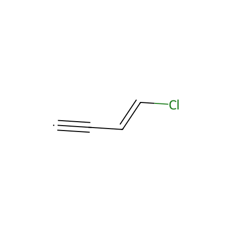 [C]#CC=CCl